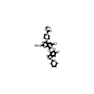 CSc1nc(N2CCN(C(=O)OC(C)(C)C)CC2)c2cc(Cl)nc(Oc3c(Cl)c(Cl)cc4c3cnn4C3CCCCO3)c2n1